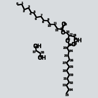 CCCCCCCCCCCCCC(=O)OCC(CO)OC(=O)CCCCCCCCCCCCC.OCCO